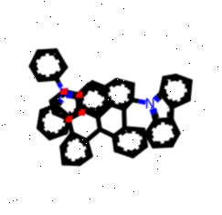 c1ccc(-c2ccccc2C(c2ccccc2-c2c(-n3c4ccccc4c4ccccc43)ccc3ccccc23)c2cccc3c2c2ccccc2n3-c2ccccc2)cc1